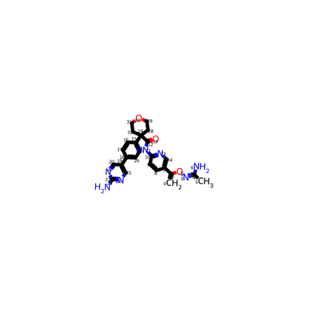 C=C(O/N=C(/C)N)c1ccc(NC(=O)C2(c3ccc(-c4cnc(N)nc4)cc3)CCOCC2)nc1